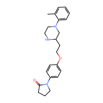 Cc1ccccc1N1CCNC(CCOc2ccc(N3CCCC3=O)cc2)C1